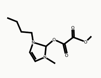 CCCCN1C=CN(C)C1OC(=O)C(=O)OC